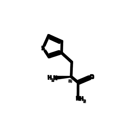 NC(=O)[C@@H](N)Cc1ccsc1